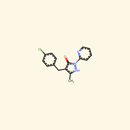 Cc1[nH]n(-c2ccccn2)c(=O)c1Cc1ccc(Cl)cc1